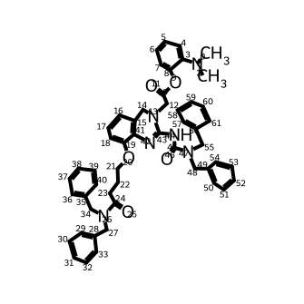 CN(C)c1ccccc1OC(=O)CN1Cc2cccc(OCCCC(=O)N(Cc3ccccc3)Cc3ccccc3)c2N=C1NC(=O)N(Cc1ccccc1)Cc1ccccc1